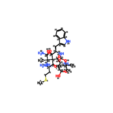 CSCC[C@@H](N)C(=O)C(C(=O)[C@H](N)CC(=O)O)(C(=O)[C@@H](Cc1c[nH]c2ccccc12)NC(=O)OC(C)(C)C)C(C)(N)C(N)=O